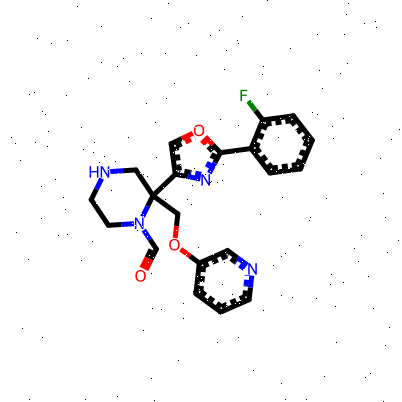 O=CN1CCNCC1(COc1cccnc1)c1coc(-c2ccccc2F)n1